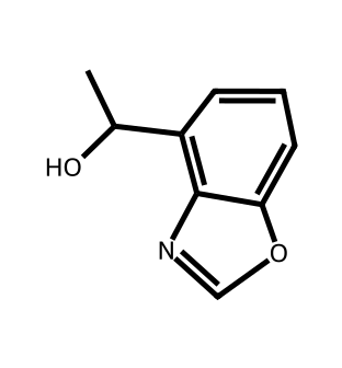 CC(O)c1cccc2ocnc12